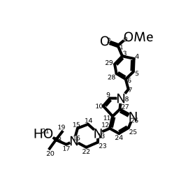 COC(=O)c1ccc(Cn2ccc3c(N4CCN(CC(C)(C)O)CC4)ccnc32)cc1